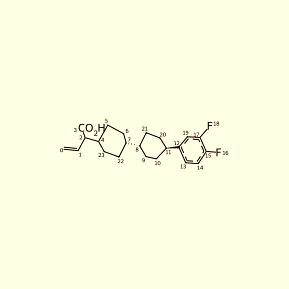 C=CC(C(=O)O)C1CCC([C@H]2CC[C@H](c3ccc(F)c(F)c3)CC2)CC1